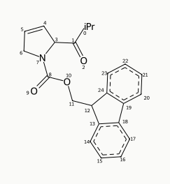 CC(C)C(=O)C1C=CCN1C(=O)OCC1c2ccccc2-c2ccccc21